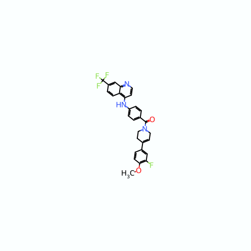 COc1ccc(C2=CCN(C(=O)c3ccc(Nc4ccnc5cc(C(F)(F)F)ccc45)cc3)CC2)cc1F